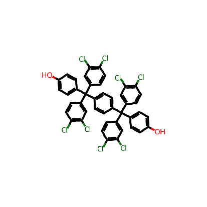 Oc1ccc(C(c2ccc(C(c3ccc(O)cc3)(c3ccc(Cl)c(Cl)c3)c3ccc(Cl)c(Cl)c3)cc2)(c2ccc(Cl)c(Cl)c2)c2ccc(Cl)c(Cl)c2)cc1